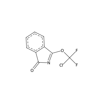 O=C1N=C(OC(F)(F)Cl)c2ccccc21